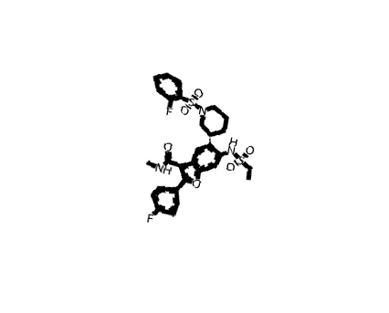 CCS(=O)(=O)Nc1cc2oc(-c3ccc(F)cc3)c(C(=O)NC)c2cc1[C@H]1CCCN(S(=O)(=O)c2ccccc2F)C1